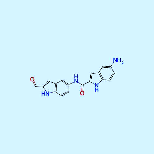 Nc1ccc2[nH]c(C(=O)Nc3ccc4[nH]c(C=O)cc4c3)cc2c1